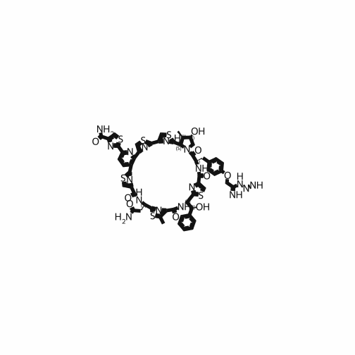 Cc1sc2nc1C(=O)N[C@@H]([C@H](O)c1ccccc1)c1nc(cs1)C(=O)N[C@@H](Cc1ccc(OCC(=N)NN=N)cc1)C(=O)N1C[C@H](O)[C@H](C)[C@H]1c1nc(cs1)-c1nc(cs1)-c1nc(-c3nc(C(N)=O)cs3)ccc1-c1nc(cs1)C(=O)N[C@H]2CC(N)=O